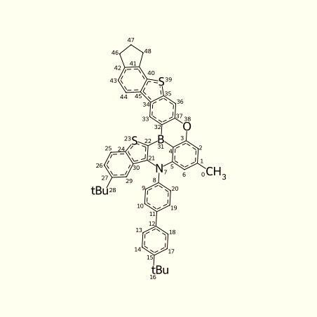 Cc1cc2c3c(c1)N(c1ccc(-c4ccc(C(C)(C)C)cc4)cc1)c1c(sc4ccc(C(C)(C)C)cc14)B3c1cc3c(cc1O2)sc1c2c(ccc13)CCC2